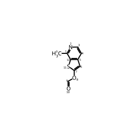 Cc1nccc2cc(OC=O)sc12